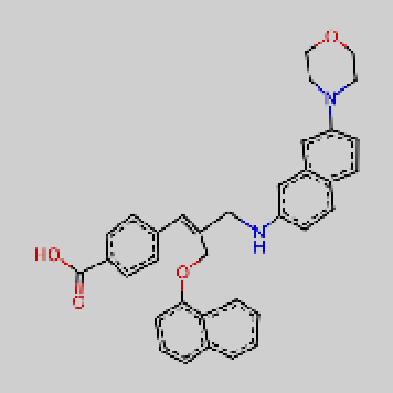 O=C(O)c1ccc(C=C(CNc2ccc3ccc(N4CCOCC4)cc3c2)COc2cccc3ccccc23)cc1